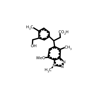 COc1cc(C(CC(=O)O)c2ccc(C)c(CO)c2)c(C)c2nnn(C)c12